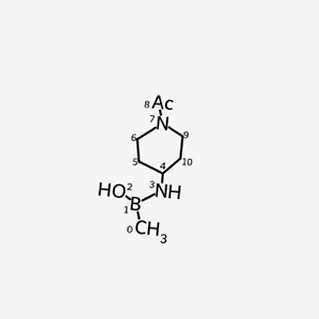 CB(O)NC1CCN(C(C)=O)CC1